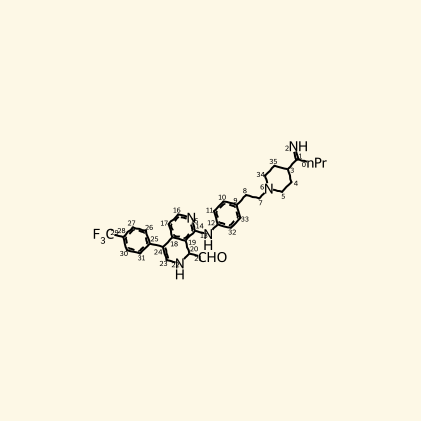 CCCC(=N)C1CCN(CCc2ccc(Nc3nccc4c3C(C=O)NC=C4c3ccc(C(F)(F)F)cc3)cc2)CC1